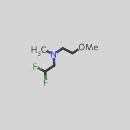 COCCN(C)CC(F)F